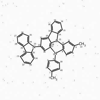 Cc1ccc(N2c3ccc(C)cc3B3c4ccccc4-c4cc(-n5c6ccccc6c6ccccc65)cc2c43)cc1